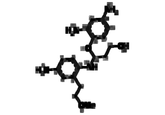 COCCc1cc(N)ccc1NC(CCO)Oc1ccc(N)cc1N